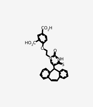 O=C(O)c1ccc(OCCn2cc(C3c4ccccc4C=Cc4ccccc43)c(=S)[nH]c2=O)c(C(=O)O)c1